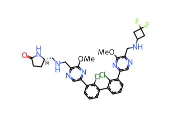 COc1nc(-c2cccc(-c3cccc(-c4cnc(CNC5CC(F)(F)C5)c(OC)n4)c3Cl)c2Cl)cnc1CNC[C@@H]1CCC(=O)N1